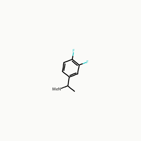 CNC(C)c1ccc(F)c(F)c1